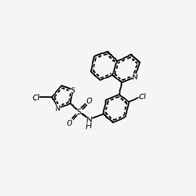 O=S(=O)(Nc1ccc(Cl)c(-c2nccc3ccccc23)c1)c1nc(Cl)cs1